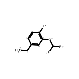 CCc1ccc(F)c(OC(F)F)c1